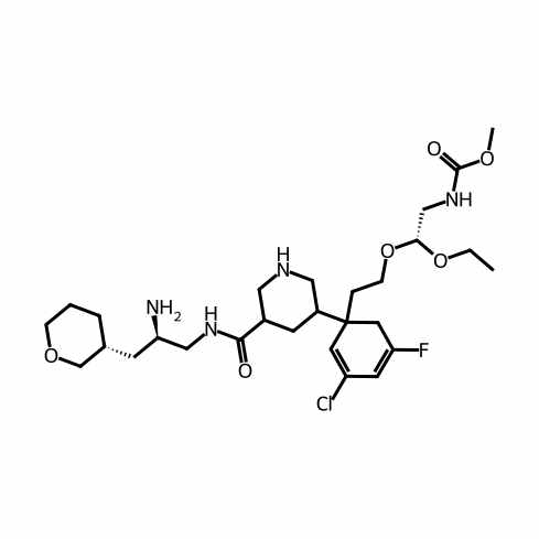 CCO[C@@H](CNC(=O)OC)OCCC1(C2CNCC(C(=O)NC[C@H](N)C[C@H]3CCCOC3)C2)C=C(Cl)C=C(F)C1